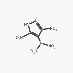 O=[N+]([O-])c1n[nH]c([N+](=O)[O-])c1N([N+](=O)[O-])[N+](=O)[O-]